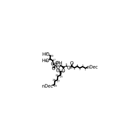 CCCCCCCCCCCCCCCC(=O)OC[C@H](COP(=O)(O)OCC(O)CO)OC(=O)CCCCCCCCCCCCCCC